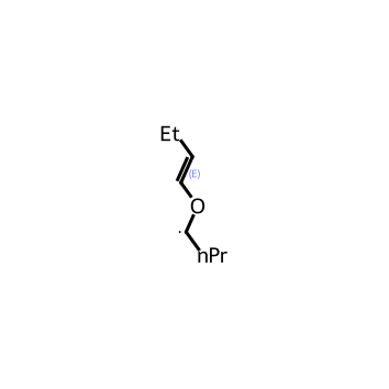 CC/C=C/O[CH]CCC